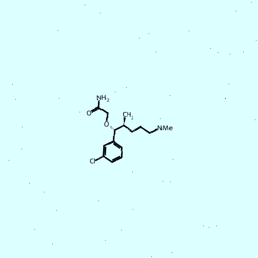 CNCCC[C@H](C)[C@@H](OCC(N)=O)c1cccc(Cl)c1